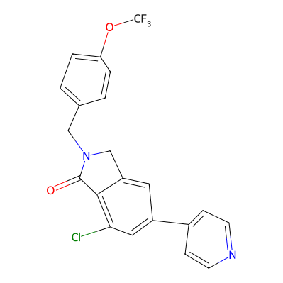 O=C1c2c(Cl)cc(-c3ccncc3)cc2CN1Cc1ccc(OC(F)(F)F)cc1